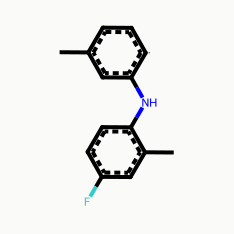 Cc1cc[c]c(Nc2ccc(F)cc2C)c1